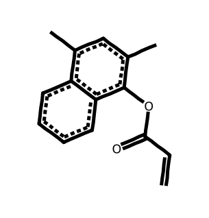 C=CC(=O)Oc1c(C)cc(C)c2ccccc12